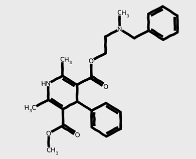 COC(=O)C1=C(C)NC(C)=C(C(=O)OCCN(C)Cc2ccccc2)C1c1ccccc1